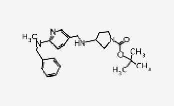 CN(Cc1ccccc1)c1ccc(CNC2CCN(C(=O)OC(C)(C)C)C2)cn1